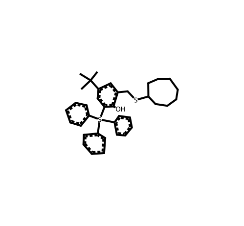 CC(C)(C)c1cc(CSC2CCCCCCC2)c(O)c(S(c2ccccc2)(c2ccccc2)c2ccccc2)c1